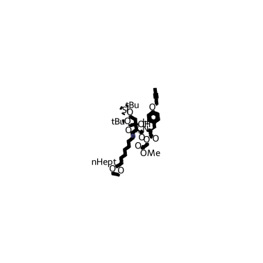 CC#CCOc1ccc(C[C@H](NC(=O)[C@@H](/C=C/CCCCCCC2(CCCCCCC)OCCO2)[C@@](O)(CCO[Si](C)(C)C(C)(C)C)C(=O)OC(C)(C)C)C(=O)OCC(=O)OC)cc1